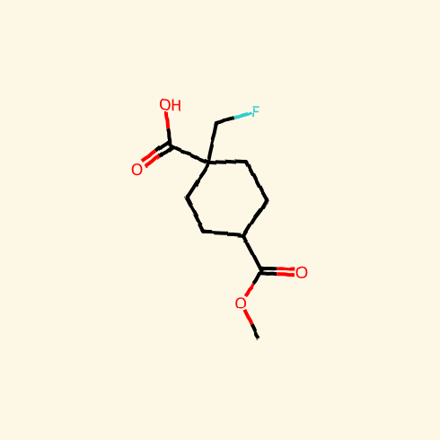 COC(=O)C1CCC(CF)(C(=O)O)CC1